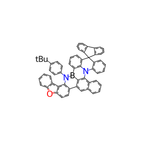 CC(C)(C)c1ccc(N2B3c4cccc5c4N(c4ccccc4C54c5ccccc5-c5ccccc54)c4c3c(cc3ccccc43)-c3ccc4oc5ccccc5c4c32)cc1